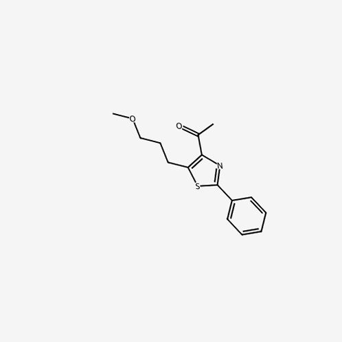 COCCCc1sc(-c2ccccc2)nc1C(C)=O